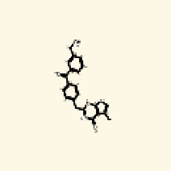 Cc1csc2oc(Cc3ccc(C(=O)c4cccc(CO)c4)cc3)nc(=O)c12